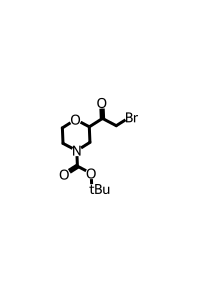 CC(C)(C)OC(=O)N1CCOC(C(=O)CBr)C1